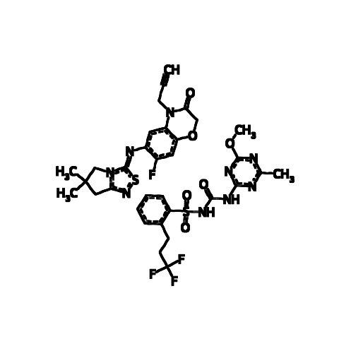 C#CCN1C(=O)COc2cc(F)c(/N=c3\snc4n3CC(C)(C)C4)cc21.COc1nc(C)nc(NC(=O)NS(=O)(=O)c2ccccc2CCC(F)(F)F)n1